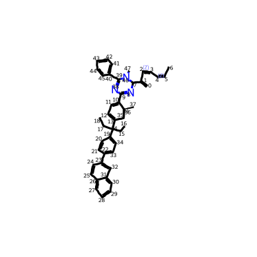 C=C(/C=C\C=C/C)C1N=C(C2=CC=C(C(CC)(CC)c3ccc(-c4ccc5ccccc5c4)cc3)C[C@@H]2C)N=C(c2ccccc2)N1C